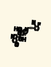 COc1ccc2nccc(C(O)CC[C@@H]3CCN(CC#Cc4cccc(F)c4C#N)C[C@@H]3C(=O)O)c2c1